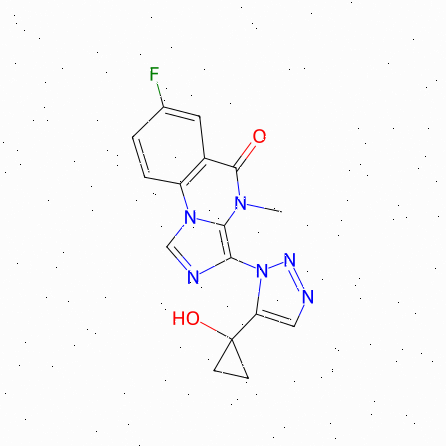 Cn1c(=O)c2cc(F)ccc2n2cnc(-n3nncc3C3(O)CC3)c12